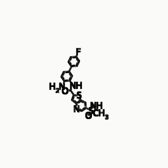 CS(=N)(=O)c1cnc2cc(C(=O)Nc3cc(-c4ccc(F)cc4)ccc3N)sc2c1